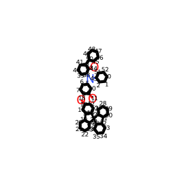 c1ccc(N(c2ccc3c(c2)Oc2cc4c(cc2O3)-c2ccccc2C42c3ccccc3-c3ccccc32)c2cccc3c2oc2ccccc23)cc1